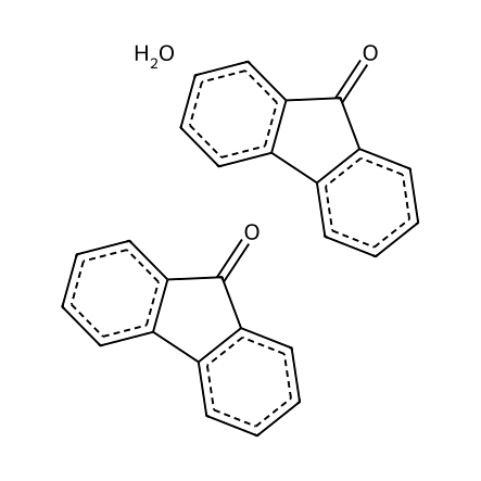 O.O=C1c2ccccc2-c2ccccc21.O=C1c2ccccc2-c2ccccc21